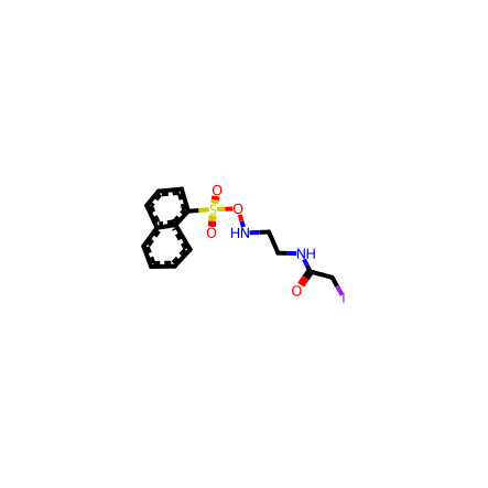 O=C(CI)NCCNOS(=O)(=O)c1cccc2ccccc12